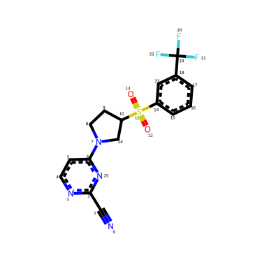 N#Cc1nccc(N2CCC(S(=O)(=O)c3cccc(C(F)(F)F)c3)C2)n1